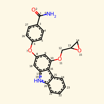 NC(=O)c1ccc(Oc2cc(OCC3CO3)c3c(c2)[nH]c2ccccc23)cc1